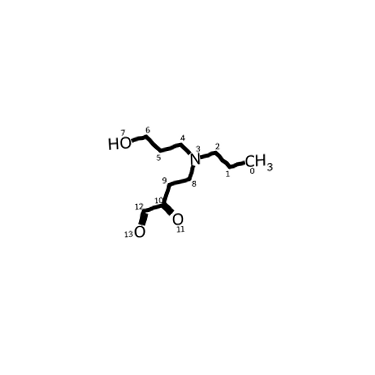 CCCN(CCCO)CCC(=O)C=O